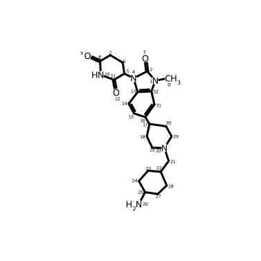 Cn1c(=O)n(C2CCC(=O)NC2=O)c2ccc(C3CCN(CC4CCC(N)CC4)CC3)cc21